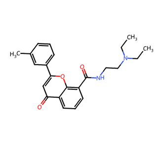 CCN(CC)CCNC(=O)c1cccc2c(=O)cc(-c3cccc(C)c3)oc12